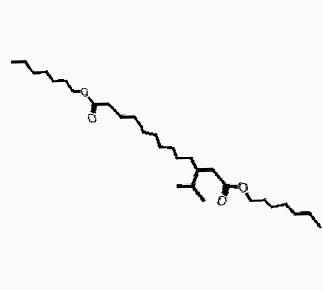 CCCCCCCOC(=O)CCCCCCCCCC(CC(=O)OCCCCCCC)C(C)C